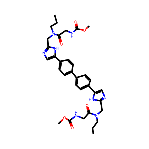 CCCN(Cc1ncc(-c2ccc(-c3ccc(-c4cnc(CN(CCC)C(=O)CNC(=O)OC)[nH]4)cc3)cc2)[nH]1)C(=O)CNC(=O)OC